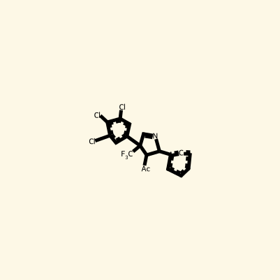 CC(=O)C1C(c2ccccc2)N=CC1(c1cc(Cl)c(Cl)c(Cl)c1)C(F)(F)F